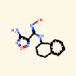 Nc1nonc1/C(=N/O)NC1CCCc2ccccc21